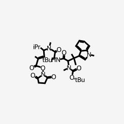 C/C(=C\C(C(C)C)N(C)C(=O)C(NC(=O)C(N(C)C(=O)OC(C)(C)C)C(C)(C)c1cn(C)c2ccccc12)C(C)(C)C)C(=O)ON1C(=O)CCC1=O